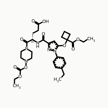 CCOC(=O)ON1CCN(C(=O)[C@H](CCC(=O)O)NC(=O)c2cc(OC3(C(=O)OCC)CCC3)n(-c3ccc(CC)cc3)n2)CC1